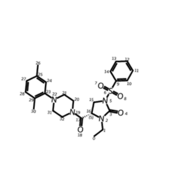 CCN1C(=O)N(S(=O)(=O)c2ccccc2)C[C@H]1C(=O)N1CCN(c2cc(C)ccc2C)CC1